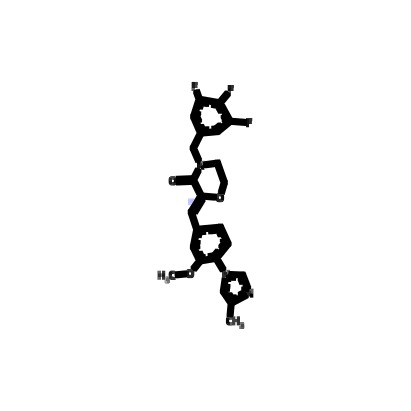 COc1cc(/C=C2\OCCN(Cc3cc(F)c(F)c(F)c3)C2=O)ccc1-n1cnc(C)c1